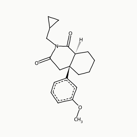 COc1cccc([C@]23CCCC[C@@H]2C(=O)N(CC2CC2)C(=O)C3)c1